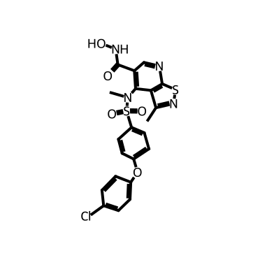 Cc1nsc2ncc(C(=O)NO)c(N(C)S(=O)(=O)c3ccc(Oc4ccc(Cl)cc4)cc3)c12